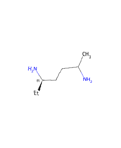 CC[C@@H](N)CCC(C)N